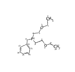 CCOCCP(CCOCC)Cc1ccccc1